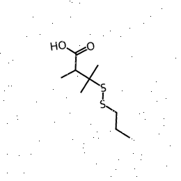 CCCSSC(C)(C)C(C)C(=O)O